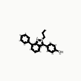 CCCn1nc2c(-c3ccccc3)cccc2c1-c1ccc(O)cc1